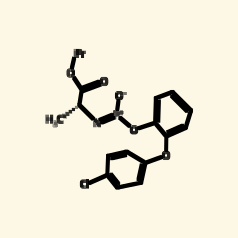 CC(C)OC(=O)[C@@H](C)N=[P+]([O-])Oc1ccccc1Oc1ccc(Cl)cc1